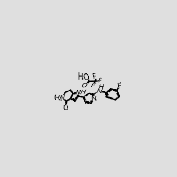 O=C(O)C(F)(F)F.O=C1NCCc2[nH]c(-c3ccnc(Nc4cccc(F)c4)c3)cc21